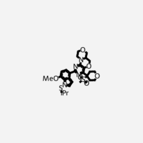 COc1ccc(-c2nc3c(c(C4(S(C)(=O)=O)CCOCC4)n2)OCC2COCCN32)c2ccn(SC(C)C)c12